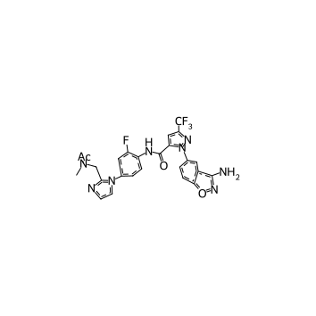 CC(=O)N(C)Cc1nccn1-c1ccc(NC(=O)c2cc(C(F)(F)F)nn2-c2ccc3onc(N)c3c2)c(F)c1